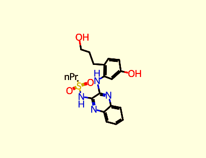 CCCS(=O)(=O)Nc1nc2ccccc2nc1Nc1cc(O)ccc1CCCO